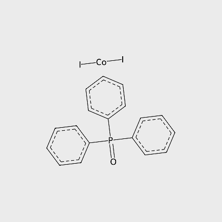 O=P(c1ccccc1)(c1ccccc1)c1ccccc1.[I][Co][I]